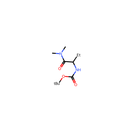 CCC(NC(=O)OC(C)(C)C)C(=O)N(C)C